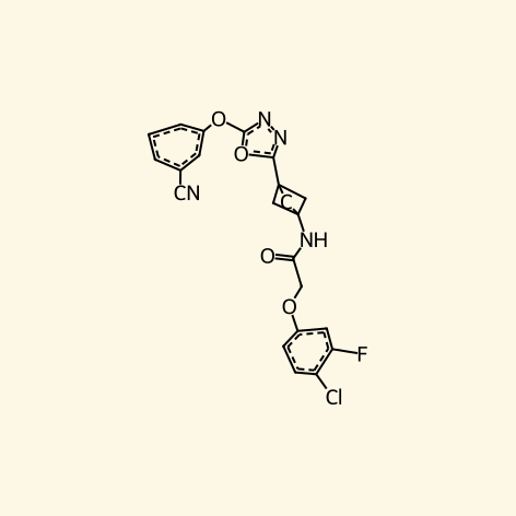 N#Cc1cccc(Oc2nnc(C34CC(NC(=O)COc5ccc(Cl)c(F)c5)(C3)C4)o2)c1